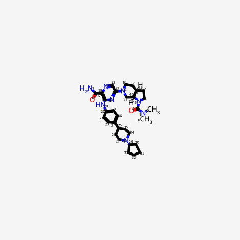 CN(C)C(=O)N1CC[C@@H]2CCN(c3cnc(C(N)=O)c(Nc4ccc(C5CCN(C6CCCC6)CC5)cc4)n3)C[C@@H]21